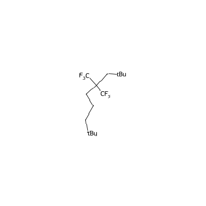 CC(C)(C)CCCC(CC(C)(C)C)(C(F)(F)F)C(F)(F)F